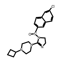 [O-][S+](c1ccc2cc(Cl)ccc2c1)N1CCN=C1N1CCN(C2CCC2)CC1